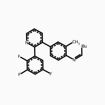 CCC(C)/C=N\c1ccc(-c2cccnc2-c2cc(F)cc(F)c2F)cc1C